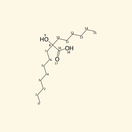 CCCCCCCCC(O)(CCCCCC)C(=O)O